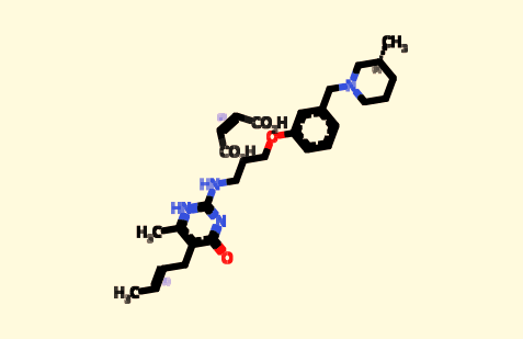 C/C=C/Cc1c(C)[nH]c(NCCCOc2cccc(CN3CCC[C@@H](C)C3)c2)nc1=O.O=C(O)/C=C\C(=O)O